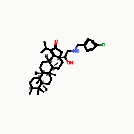 CC(C)C1=C2[C@H]3CC[C@@H]4[C@@]5(C)CC[C@H](C)C(C)(C)[C@@H]5CC[C@@]4(C)[C@]3(C)CC[C@@]2(C(O)CNCc2ccc(Cl)cc2)CC1=O